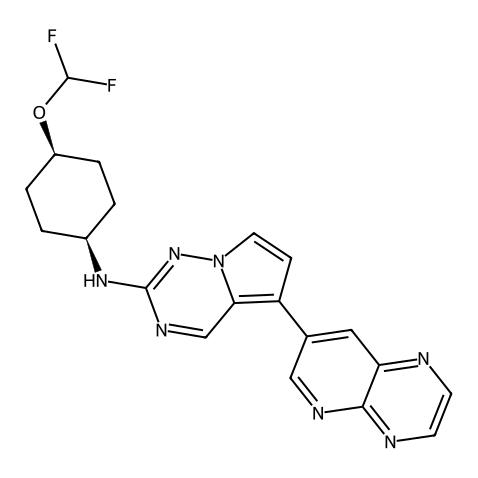 FC(F)O[C@H]1CC[C@@H](Nc2ncc3c(-c4cnc5nccnc5c4)ccn3n2)CC1